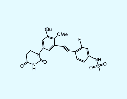 COc1c(C#Cc2ccc(NS(C)(=O)=O)cc2F)cc(N2CCC(=O)NC2=O)cc1C(C)(C)C